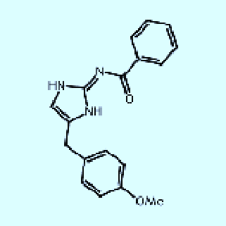 COc1ccc(Cc2c[nH]c(=NC(=O)c3ccccc3)[nH]2)cc1